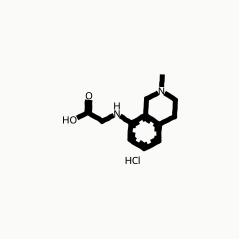 CN1CCc2cccc(NCC(=O)O)c2C1.Cl